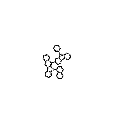 c1ccc(-n2c3ccccc3c3ccc(-c4c5ccccc5cc5c6ccccc6n(-c6cccc7ccccc67)c45)cc32)cc1